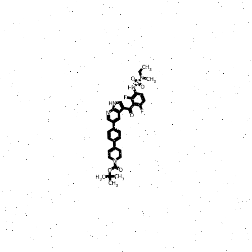 CCN(C)S(=O)(=O)Nc1ccc(F)c(C(=O)c2c[nH]c3ncc(-c4ccc(C5=CCN(C(=O)OC(C)(C)C)CC5)cc4)cc23)c1F